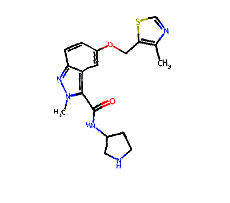 Cc1ncsc1COc1ccc2nn(C)c(C(=O)NC3CCNC3)c2c1